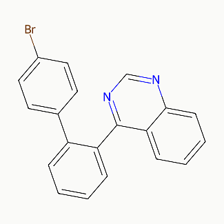 Brc1ccc(-c2ccccc2-c2ncnc3ccccc23)cc1